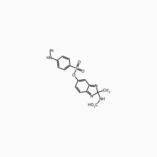 CC(C)Nc1ccc(S(=O)(=O)Oc2ccc3c(c2)=NC(C)(NC(=O)O)N=3)cc1